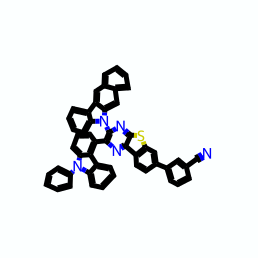 N#Cc1cccc(-c2ccc3c(c2)sc2nc(-n4c5ccccc5c5cc6ccccc6cc54)c(-c4cccc5c4c4ccccc4n5-c4ccccc4)nc23)c1